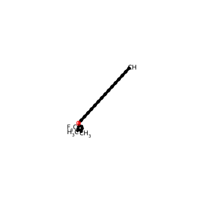 C#CC#CC#CC#CC#CC#CC#CC#CC#CC#CC#CC#CC#CC#CC#COc1ccc(C)c(C)c1C(F)(F)F